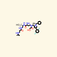 C=C(C)NCCC(=O)NC[C@@H](NC(=O)[C@@H](N)CCN(C(=O)CO)[C@@H](c1cc(-c2cc(F)ccc2F)cn1Cc1ccccc1)C(C)(C)C)C(=O)O